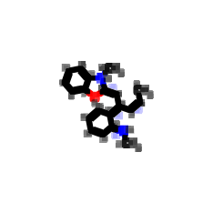 C\C=C/C(/C=C1\Oc2ccccc2N1C)=C1/C=CC=C/C1=N\C